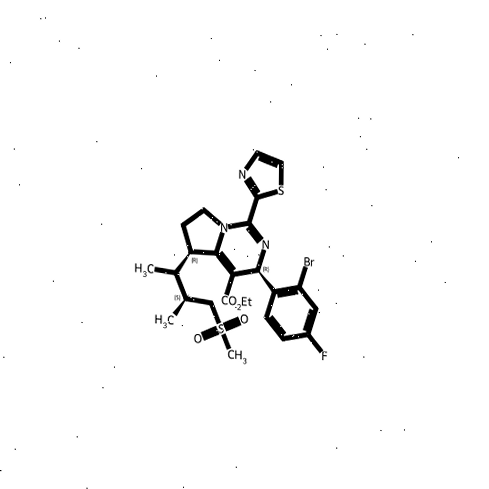 CCOC(=O)C1=C2[C@@H](C(C)[C@H](C)CS(C)(=O)=O)CCN2C(c2nccs2)=N[C@H]1c1ccc(F)cc1Br